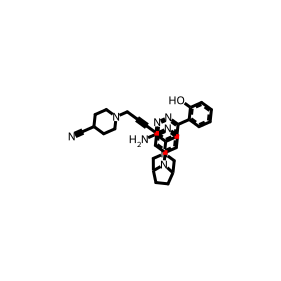 N#CC1CCN(CC#Cc2cc(N3C4CCC3CN(c3cc(-c5ccccc5O)nnc3N)C4)ccn2)CC1